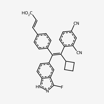 N#Cc1ccc(C(=C(c2ccc(C=CC(=O)O)cc2)c2ccc3[nH]nc(F)c3c2)C2CCC2)c(C#N)c1